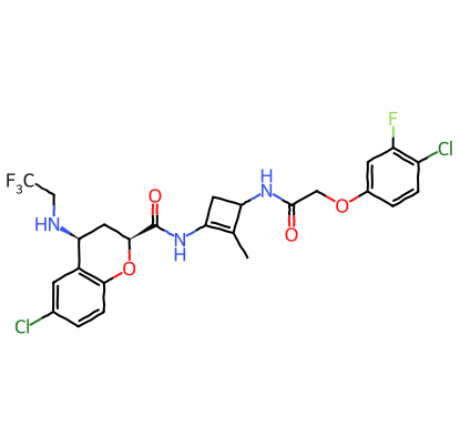 CC1=C(NC(=O)[C@@H]2C[C@H](NCC(F)(F)F)c3cc(Cl)ccc3O2)CC1NC(=O)COc1ccc(Cl)c(F)c1